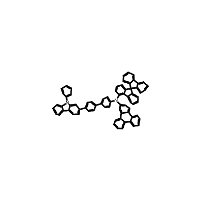 c1ccc(-n2c3ccccc3c3ccc(-c4ccc(-c5ccc(N(c6ccc7c8ccccc8c8ccccc8c7c6)c6cccc7c6-c6ccccc6C76c7ccccc7-c7ccccc76)cc5)cc4)cc32)cc1